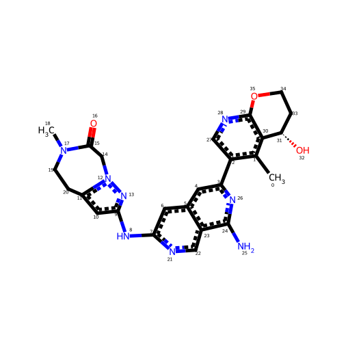 Cc1c(-c2cc3cc(Nc4cc5n(n4)CC(=O)N(C)CC5)ncc3c(N)n2)cnc2c1[C@@H](O)CCO2